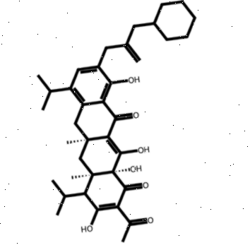 C=C(Cc1cc(C(C)C)c2c(c1O)C(=O)C1=C(O)[C@@]3(O)C(=O)C(C(C)=O)=C(O)C(C(C)C)[C@@]3(C)C[C@@]1(C)C2)CC1CCCCC1